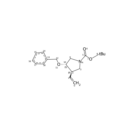 C=C[C@@H]1CN(C(=O)OC(C)(C)C)C[C@H]1OCc1ccccc1